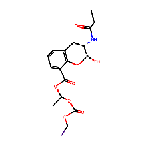 CCC(=O)N[C@H]1Cc2cccc(C(=O)OC(C)OC(=O)OCI)c2OB1O